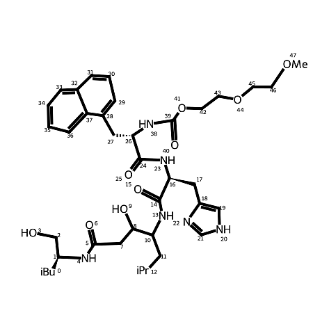 CCC(C)[C@@H](CO)NC(=O)CC(O)C(CC(C)C)NC(=O)[C@H](Cc1c[nH]cn1)NC(=O)[C@H](Cc1cccc2ccccc12)NC(=O)OCCOCCOC